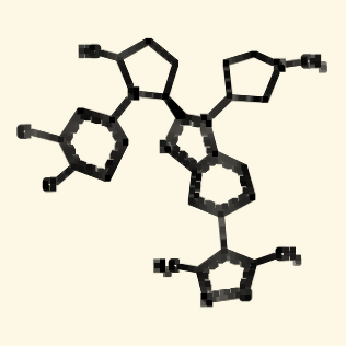 Cc1noc(C)c1-c1ccc2c(c1)nc([C@@H]1CCC(O)N1c1ccc(Cl)c(Cl)c1)n2C1CCN(C)C1